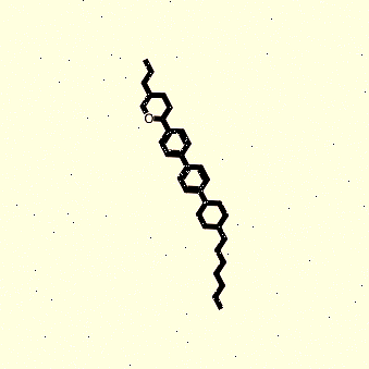 CCCCCCCC1CCC(c2ccc(-c3ccc(C4CCC(CCC)CO4)cc3)cc2)CC1